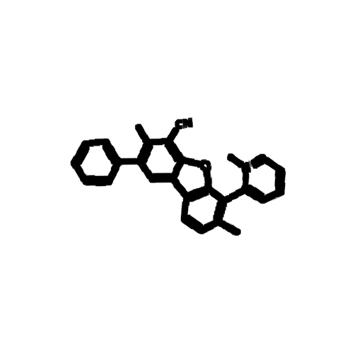 Cc1ccc2c(oc3c(C#N)c(C)c(-c4ccccc4)cc32)c1-c1cccc[n+]1C